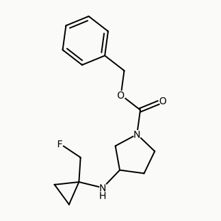 O=C(OCc1ccccc1)N1CCC(NC2(CF)CC2)C1